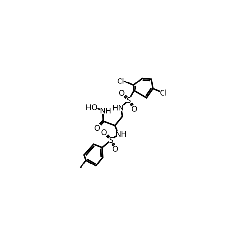 Cc1ccc(S(=O)(=O)NC(CNS(=O)(=O)c2cc(Cl)ccc2Cl)C(=O)NO)cc1